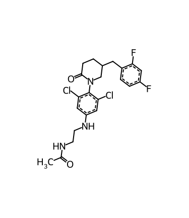 CC(=O)NCCNc1cc(Cl)c(N2CC(Cc3ccc(F)cc3F)CCC2=O)c(Cl)c1